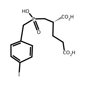 O=C(O)CC[C@H](CP(=O)(O)Cc1ccc(I)cc1)C(=O)O